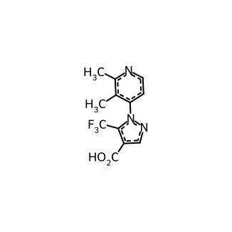 Cc1nccc(-n2ncc(C(=O)O)c2C(F)(F)F)c1C